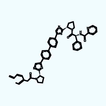 C=C/C=C\C(=C/C)CC(=O)N1CCC[C@H]1c1ncc(-c2ccc(-c3ccc(-c4cnc([C@@H]5CCCN5C(=O)[C@H](NC(=O)c5ccccn5)c5ccccc5)s4)cc3)cc2)s1